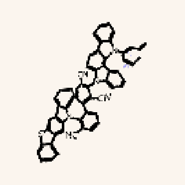 C=C/C=C(\C=C/C)n1c2ccccc2c2ccc3c(c4ccccc4n3-c3c(C#N)ccc(-c4cccc(C#N)c4-n4c5ccccc5c5cc6sc7ccccc7c6cc54)c3C#N)c21